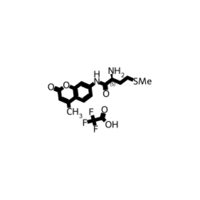 CSCC[C@H](N)C(=O)Nc1ccc2c(C)cc(=O)oc2c1.O=C(O)C(F)(F)F